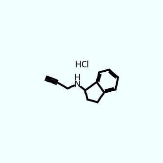 C#CCNC1CCc2ccccc21.Cl